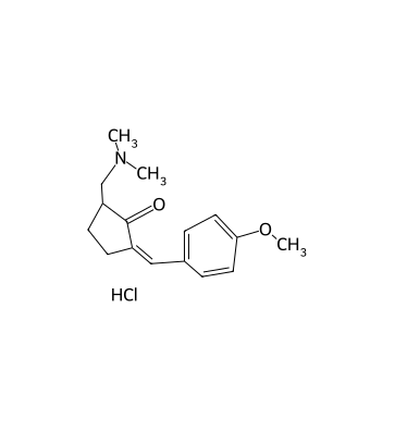 COc1ccc(C=C2CCC(CN(C)C)C2=O)cc1.Cl